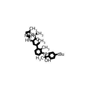 C/C=C(\C=C(\Nc1ncc(C)s1)C(=O)N(C)C)c1cccc(N[C@@](C)(O)c2ccc(C(C)(C)C)cc2)c1C